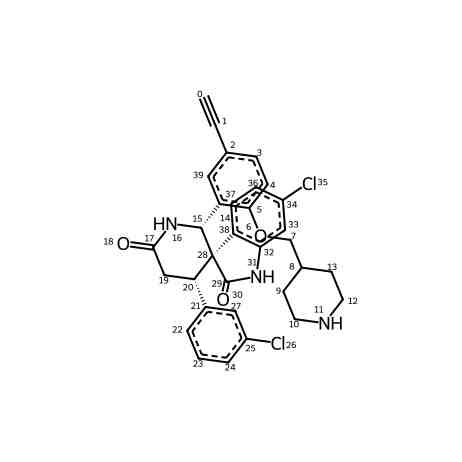 C#Cc1ccc(OCC2CCNCC2)c([C@H]2NC(=O)C[C@@H](c3cccc(Cl)c3)[C@]23C(=O)Nc2cc(Cl)ccc23)c1